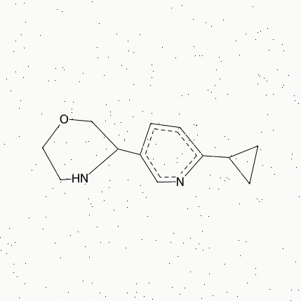 c1cc(C2CC2)ncc1C1COCCN1